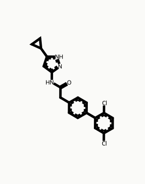 O=C(Cc1ccc(-c2cc(Cl)ccc2Cl)cc1)Nc1cc(C2CC2)[nH]n1